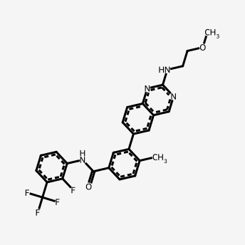 COCCNc1ncc2cc(-c3cc(C(=O)Nc4cccc(C(F)(F)F)c4F)ccc3C)ccc2n1